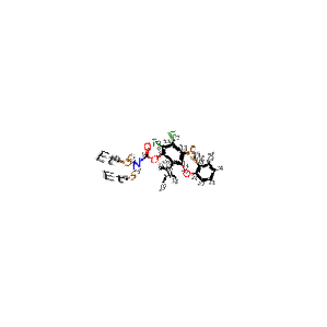 CCSN(SCC)C(=O)Oc1c(F)c(F)c2c(c1[Si](C)(C)C)Oc1ccccc1S2